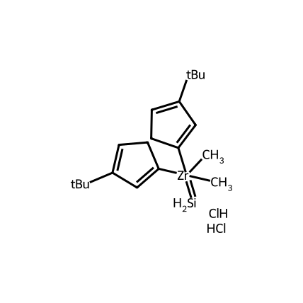 CC(C)(C)C1=CC[C]([Zr]([CH3])([CH3])(=[SiH2])[C]2=CC(C(C)(C)C)=CC2)=C1.Cl.Cl